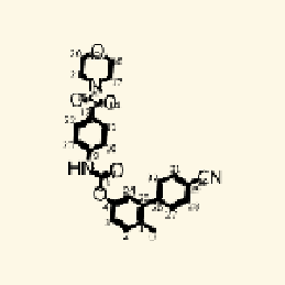 Cc1ccc(OC(=O)Nc2ccc(S(=O)(=O)N3CCOCC3)cc2)cc1-c1ccc(C#N)cc1